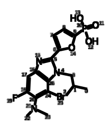 CC(C)Cn1c(-c2ccc(P(=O)(O)O)o2)nc2cc(F)c(N(C)C)c(Br)c21